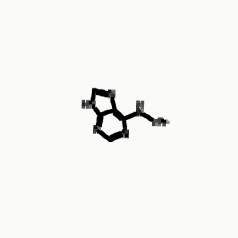 CC[CH]Nc1ncnc2[nH]cnc12